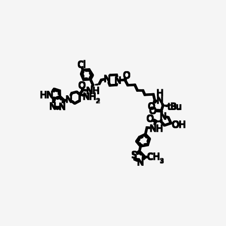 Cc1ncsc1-c1ccc(CNC(=O)[C@@H]2C[C@@H](O)CN2C(=O)[C@@H](NC(=O)CCCCCCC(=O)N2CCN(CC[C@H](NC(=O)C3(N)CCN(c4ncnc5[nH]ccc45)CC3)c3ccc(Cl)cc3)CC2)C(C)(C)C)cc1